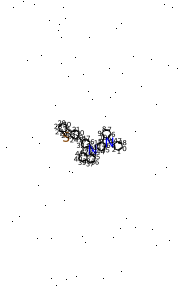 c1ccc(-n2c3ccccc3c3cc(N(c4ccc(-c5ccc6c(c5)sc5ccccc56)cc4)c4cccc5ccccc45)ccc32)cc1